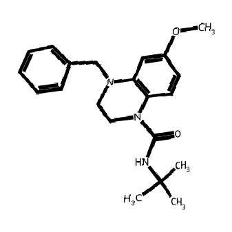 COc1ccc2c(c1)N(Cc1ccccc1)CCN2C(=O)NC(C)(C)C